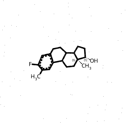 Cc1cc2c(cc1F)CCC1C2CC[C@@]2(C)C1CC[C@@H]2O